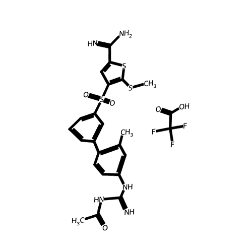 CSc1sc(C(=N)N)cc1S(=O)(=O)c1cccc(-c2ccc(NC(=N)NC(C)=O)cc2C)c1.O=C(O)C(F)(F)F